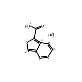 Cl.NC(=O)c1snc2ccccc12